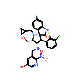 O=C1Nc2cc(Cl)ccc2[C@@]12[C@@H](c1cccc(Cl)c1F)[C@H](NCc1cc(Br)cnc1[N+](=O)[O-])[C@H](CO)N2CC1CC1